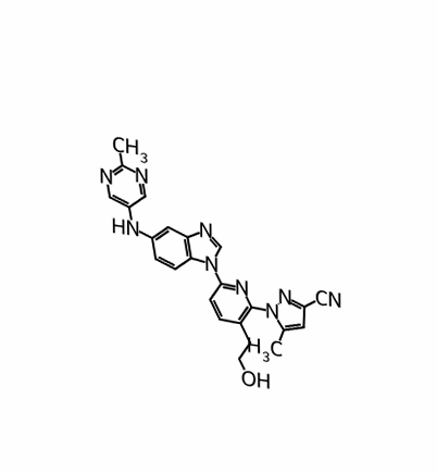 Cc1ncc(Nc2ccc3c(c2)ncn3-c2ccc(CCO)c(-n3nc(C#N)cc3C)n2)cn1